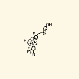 CC1(C)C(=O)N(C2=CC(C(F)(F)F)C(C#N)C=C2)C(=S)N1c1ccc(CCCC(=O)N2CCC(O)CC2)c(F)c1